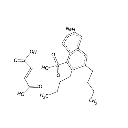 CCCCc1cc2ccccc2c(S(=O)(=O)O)c1CCCC.O=C(O)/C=C/C(=O)O.[NaH]